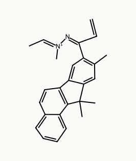 C=C/C(=N/[N+](C)=C/C)c1cc2c(cc1C)C(C)(C)c1c-2ccc2ccccc12